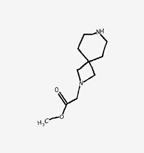 COC(=O)CN1CC2(CCNCC2)C1